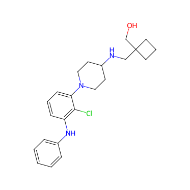 OCC1(CNC2CCN(c3cccc(Nc4ccccc4)c3Cl)CC2)CCC1